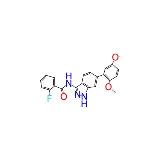 COc1ccc(OC)c(-c2ccc3c(NC(=O)c4ccccc4F)n[nH]c3c2)c1